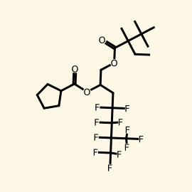 CCC(C)(C(=O)OCC(CC(F)(F)C(F)(F)C(F)(C(F)(F)F)C(F)(F)F)OC(=O)C1CCCC1)C(C)(C)C